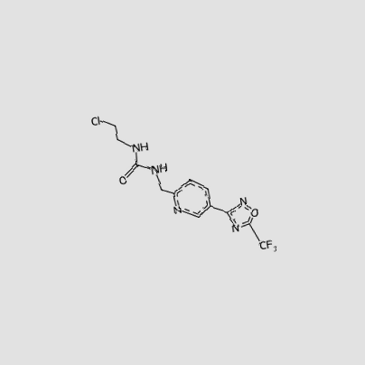 O=C(NCCCl)NCc1ccc(-c2noc(C(F)(F)F)n2)cn1